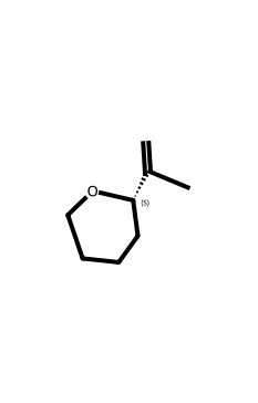 C=C(C)[C@@H]1CCCCO1